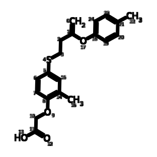 C=C(CCSc1ccc(OCC(=O)O)c(C)c1)Oc1ccc(C)cc1